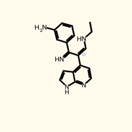 CCN/C=C(\C(=N)c1cccc(N)c1)c1ccnc2[nH]ccc12